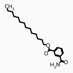 CCCCCCCCCCCCCCOC(=O)c1cccc(C(N)=O)c1